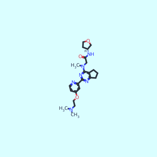 CN(C)CCOc1ccnc(-c2nc3c(c(N(C)CC(=O)N[C@@H]4CCOC4)n2)CCC3)c1